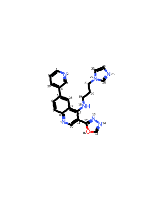 c1cncc(-c2ccc3ncc(-c4nnco4)c(NCCCn4ccnc4)c3c2)c1